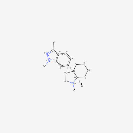 Cc1nn(C)c2cc([C@]34CCCC[C@H]3N(C)CC4)ccc12